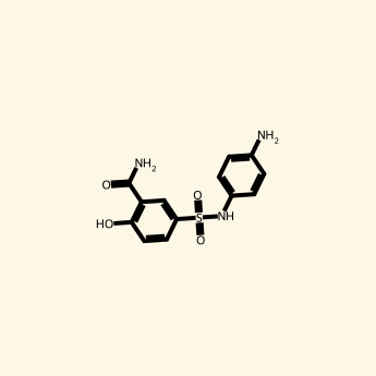 NC(=O)c1cc(S(=O)(=O)Nc2ccc(N)cc2)ccc1O